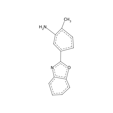 Cc1ccc(-c2nc3ccccc3o2)cc1N